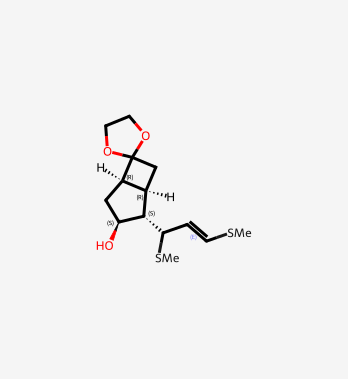 CS/C=C/C(SC)[C@H]1[C@@H]2CC3(OCCO3)[C@@H]2C[C@@H]1O